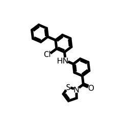 O=C(c1cccc(Nc2cccc(-c3ccccc3)c2Cl)c1)N1CC=CS1